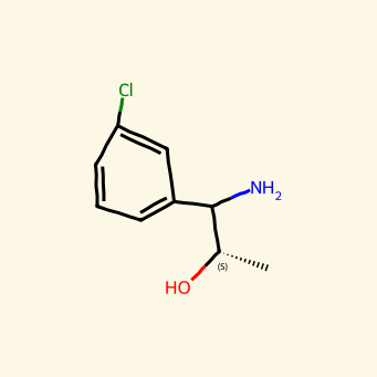 C[C@H](O)C(N)c1cccc(Cl)c1